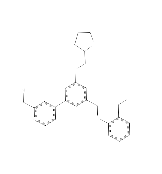 NCc1cc(-c2cc(COc3ccccc3CC(=O)O)cc(OCC3CCCO3)c2)ccn1